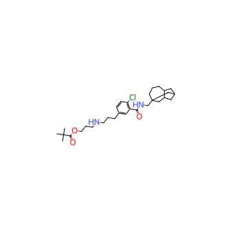 CC(C)(C)C(=O)OCCCNCCCc1ccc(Cl)c(C(=O)NCC23CCCC4CC(CC4C2)C3)c1